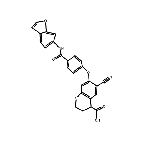 N#Cc1cc2c(cc1Oc1ccc(C(=O)Nc3ccc4ncoc4c3)cc1)OCCC2C(=O)O